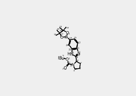 CC(C)(C)OC(=O)N1CCCC1c1nc2ccc(B3OC(C)(C)C(C)(C)O3)cc2[nH]1